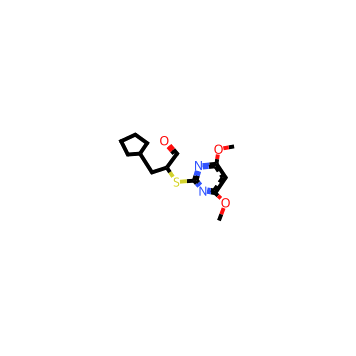 COc1cc(OC)nc(SC(C=O)CC2CCCC2)n1